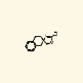 ClC1=NC2(CCc3ccccc3C2)CO1